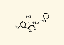 COc1ccc2sc(C(=O)NCCNC3CCCCC3)c(OC)c2c1.Cl